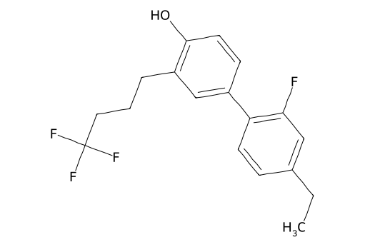 CCc1ccc(-c2ccc(O)c(CCCC(F)(F)F)c2)c(F)c1